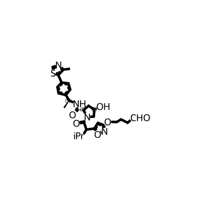 Cc1ncsc1-c1ccc([C@H](C)NC(=O)[C@@H]2C[C@@H](O)CN2C(=O)C(c2cc(OCCCC=O)no2)C(C)C)cc1